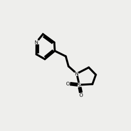 O=S1(=O)CCCN1CCc1ccncc1